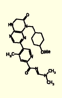 COC1CCC(CN2C(=O)CNc3ncc(-c4cnc(C(=O)N=CN(C)C)cc4C)nc32)CC1